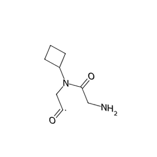 NCC(=O)N(C[C]=O)C1CCC1